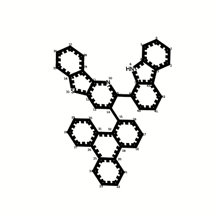 c1ccc2c(c1)[nH]c1c(-c3nc4c(cc3-c3cccc5c6ccccc6c6ccccc6c35)sc3ccccc34)cccc12